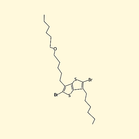 CCCCCCOCCCCCc1c(Br)sc2c(CCCCCC)c(Br)sc12